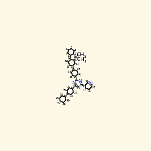 CC1(C)c2ccccc2-c2ccc(-c3ccc(-c4nc(-c5ccc(-c6ccccc6)cc5)nc(-c5cccnc5)n4)cc3)cc21